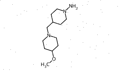 COC1CCN(CC2CCN(N)CC2)CC1